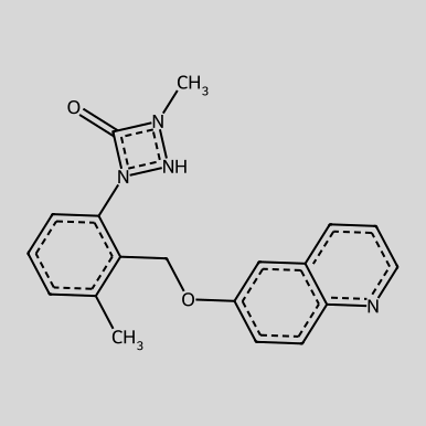 Cc1cccc(-n2[nH]n(C)c2=O)c1COc1ccc2ncccc2c1